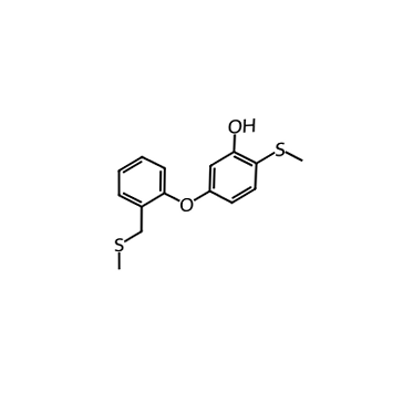 CSCc1ccccc1Oc1ccc(SC)c(O)c1